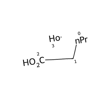 CCCCC(=O)O.[Ho]